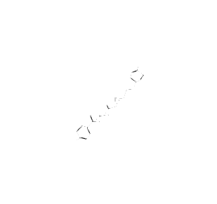 O=C(CNCCOc1ccc(F)cc1)Nc1nc(-c2ccc(F)cc2)cs1